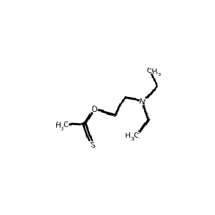 CCN(CC)CCOC(C)=S